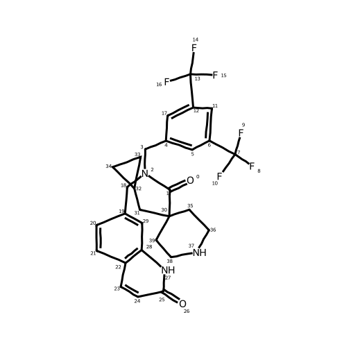 O=C(N(Cc1cc(C(F)(F)F)cc(C(F)(F)F)c1)Cc1ccc2ccc(=O)[nH]c2c1)C1(CC2CC2)CCNCC1